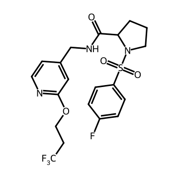 O=C(NCc1ccnc(OCCC(F)(F)F)c1)C1CCCN1S(=O)(=O)c1ccc(F)cc1